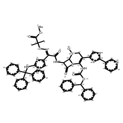 CC(C)(C)OC(=O)C(C)(C)O/N=C(/C(=O)NC1C(=O)N2C(NC(=O)OC(c3ccccc3)c3ccccc3)=C(c3cnc(-c4cccnc4)s3)C[S+]([O-])C12)c1csc(NC(c2ccccc2)(c2ccccc2)c2ccccc2)n1